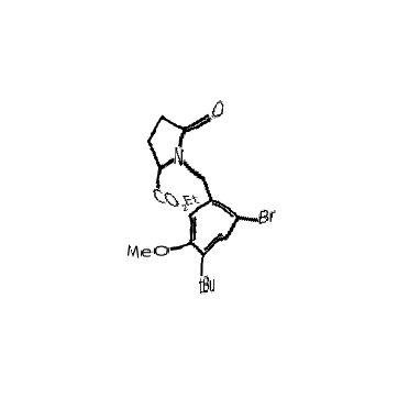 CCOC(=O)C1CCC(=O)N1Cc1cc(OC)c(C(C)(C)C)cc1Br